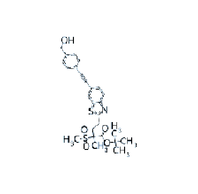 CC(C)(C)OC(=O)C(C)(CCc1nc2ccc(C#Cc3ccc(CO)cc3)cc2s1)S(C)(=O)=O